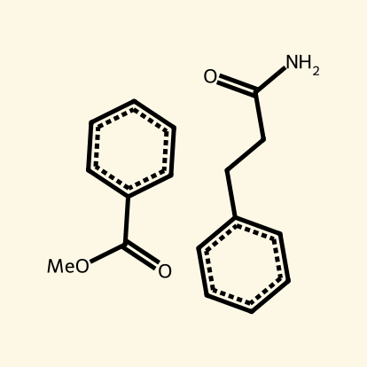 COC(=O)c1ccccc1.NC(=O)CCc1ccccc1